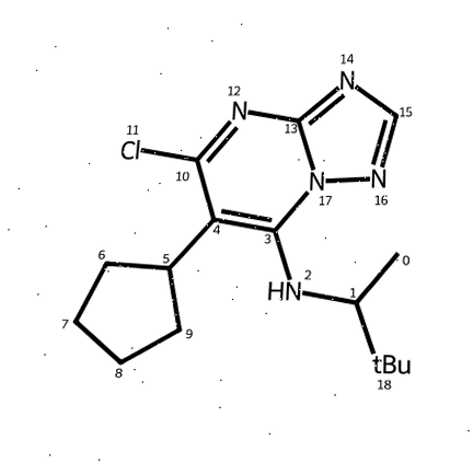 CC(Nc1c(C2CCCC2)c(Cl)nc2ncnn12)C(C)(C)C